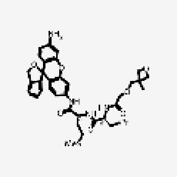 CSCC[C@H](NC(=O)[C@H](CC(C)C)NC(=O)COCC1(C)COC1)C(=O)Nc1ccc2c(c1)Oc1cc(N)ccc1C21OCc2ccccc21